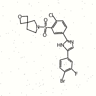 O=S(=O)(c1cc(-c2ncc(-c3ccc(Br)c(F)c3)[nH]2)ccc1Cl)N1CCC2(COC2)C1